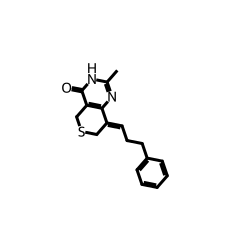 Cc1nc2c(c(=O)[nH]1)CSC/C2=C\CCc1ccccc1